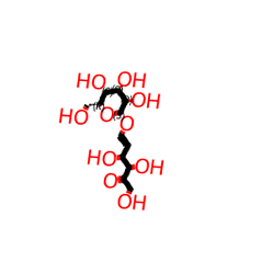 O=C(CO)C(O)C(O)C=CO[C@H]1O[C@H](CO)[C@@H](O)[C@H](O)[C@H]1O